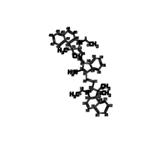 CCN1/C(=C/C=C2C(N)=C(/C=C/C3=[N+](CC)c4ccc5ccccc5c4C3(C)C)c3ccccc3/2)C(C)(C)c2c1ccc1ccccc21